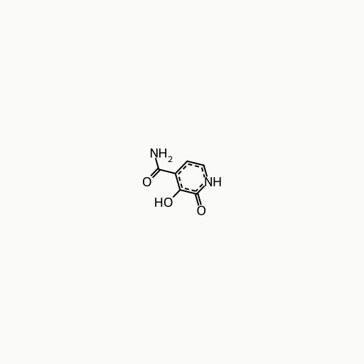 NC(=O)c1cc[nH]c(=O)c1O